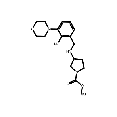 CC(C)(C)OC(=O)N1CCC(NCc2cccc(N3CCOCC3)c2N)C1